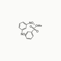 COS(=O)(=O)c1ccccc1.O=[N+]([O-])c1cccc([N+](=O)[O-])c1